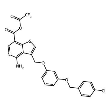 Nc1ncc(C(=O)OC(=O)C(F)(F)F)c2scc(COc3cccc(OCc4ccc(Cl)cc4)c3)c12